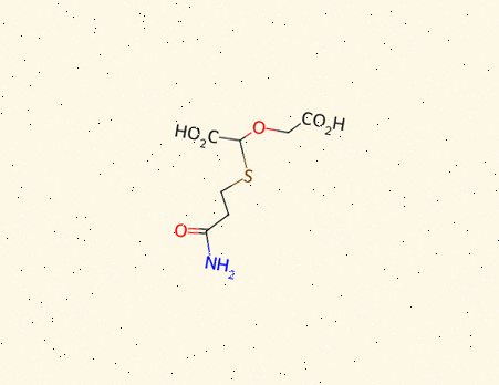 NC(=O)CCSC(OCC(=O)O)C(=O)O